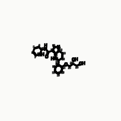 O=C(NC1C=CC=CN1)c1cnc2n1NC(c1ccccc1OC[C@H](O)CO)C=C2